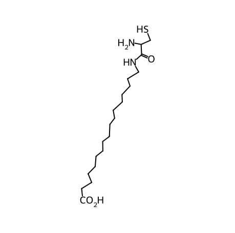 NC(CS)C(=O)NCCCCCCCCCCCCCCCCC(=O)O